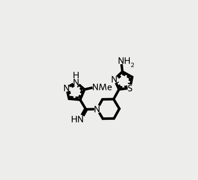 CNc1[nH]ncc1C(=N)N1CCCC(c2nc(N)cs2)C1